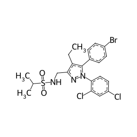 CCc1c(CNS(=O)(=O)C(C)C)nn(-c2ccc(Cl)cc2Cl)c1-c1ccc(Br)cc1